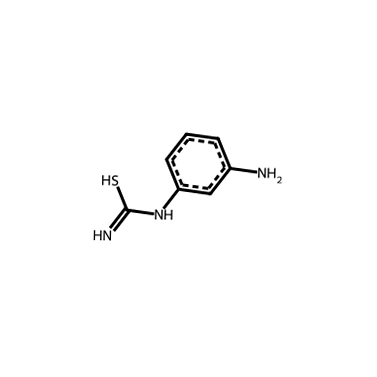 N=C(S)Nc1cccc(N)c1